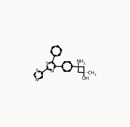 C[C@]1(O)C[C@](N)(c2ccc(-c3nc(-c4cncs4)sc3-c3ccccc3)cc2)C1